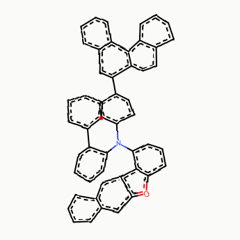 c1ccc(-c2ccccc2N(c2ccc(-c3cc4ccccc4c4c3ccc3ccccc34)cc2)c2cccc3oc4cc5ccccc5cc4c23)cc1